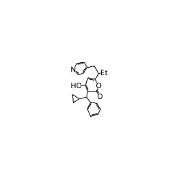 CCC(Cc1ccncc1)c1cc(O)c(C(c2ccccc2)C2CC2)c(=O)o1